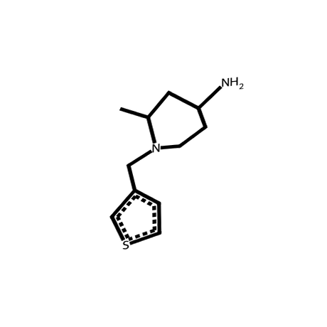 CC1CC(N)CCN1Cc1ccsc1